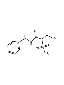 CC(C)CC(C(=O)NNc1ccccc1)S(C)(=O)=O